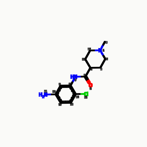 CN1CCC(C(=O)Nc2cc(N)ccc2Cl)CC1